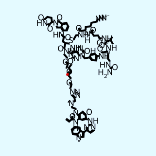 C=CC(=O)Nc1cc(Nc2nccc(-c3cn(C)c4ccccc34)n2)c(OC)cc1N(C)CCN(C)Cc1cn(CCOCCOCCOCCNC(=O)C(CSCCNC(=O)C(CCCCN=[N+]=[N-])NC(=O)CCC(=O)N[C@H](C(=O)N[C@@H](CCCNC(N)=O)C(=O)Nc2ccc(Cn3c(O)nc4c(N)nc(OCCCC)nc43)cc2)C(C)C)CC(=O)Nc2cccc3c2CN(C2CCC(=O)NC2=O)C3=O)nn1